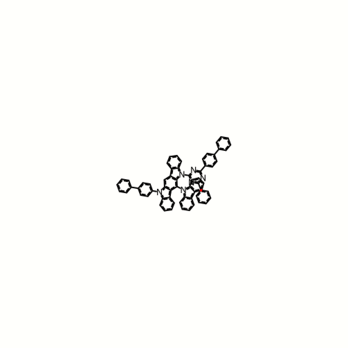 c1ccc(-c2ccc(-c3nc(-c4ccccc4)nc(-n4c5ccccc5c5cc6c(c(-n7c8ccccc8c8ccccc87)c54)c4ccccc4n6-c4ccc(-c5ccccc5)cc4)n3)cc2)cc1